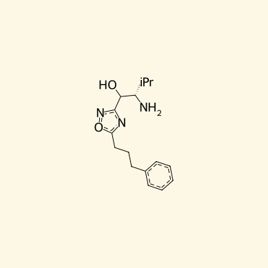 CC(C)[C@H](N)C(O)c1noc(CCCc2ccccc2)n1